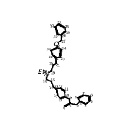 C=C(Cc1ccccc1)Cc1ccc(CCCN(CC)CCCc2ccc(OCc3ccccc3)cc2)cc1